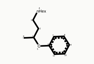 [CH2]C(CCCCCCCC)Oc1ccccc1